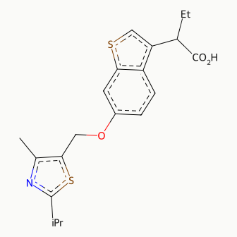 CCC(C(=O)O)c1csc2cc(OCc3sc(C(C)C)nc3C)ccc12